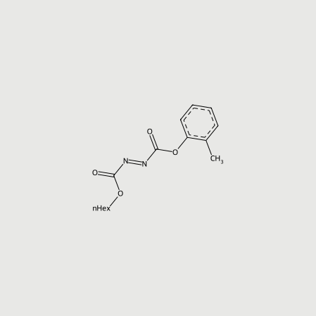 CCCCCCOC(=O)N=NC(=O)Oc1ccccc1C